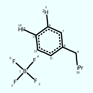 F[B-](F)(F)F.[2H]c1cc(CC(C)C)ccc1[IH+]